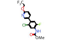 COC(=O)Nc1cc(Cl)c(-c2ccc(OCC(F)(F)F)nc2)cc1F